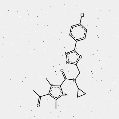 CC(=O)c1c(C)[nH]c(C(=O)N(Cc2nnc(-c3ccc(Cl)cc3)o2)C2CC2)c1C